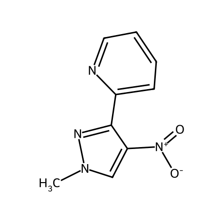 Cn1cc([N+](=O)[O-])c(-c2ccccn2)n1